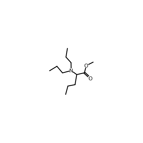 CCCC(C(=O)OC)N(CCC)CCC